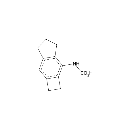 O=C(O)Nc1c2c(cc3c1CC3)CCC2